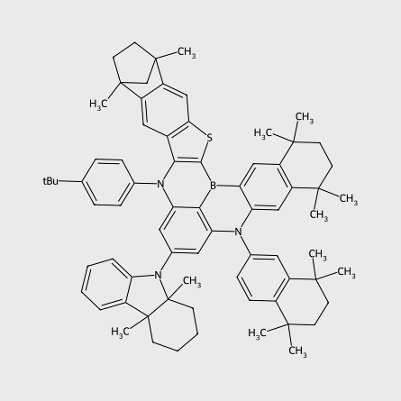 CC(C)(C)c1ccc(N2c3cc(N4c5ccccc5C5(C)CCCCC45C)cc4c3B(c3cc5c(cc3N4c3ccc4c(c3)C(C)(C)CCC4(C)C)C(C)(C)CCC5(C)C)c3sc4cc5c(cc4c32)C2(C)CCC5(C)C2)cc1